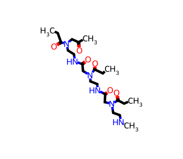 CCC(=O)N(CCNC(=O)CN(CCNC(=O)CN(CCNC)C(=O)CC)C(=O)CC)CC(C)=O